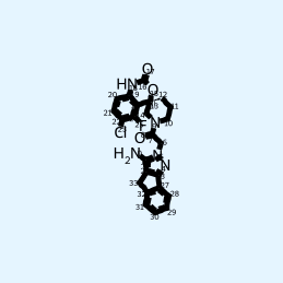 Nc1c2c(nn1CC(=O)N1CCC[C@@]3(C1)OC(=O)Nc1ccc(Cl)c(F)c13)-c1ccccc1C2